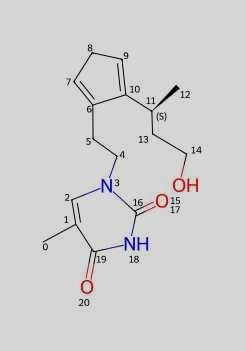 Cc1cn(CCC2=CCC=C2[C@@H](C)CCO)c(=O)[nH]c1=O